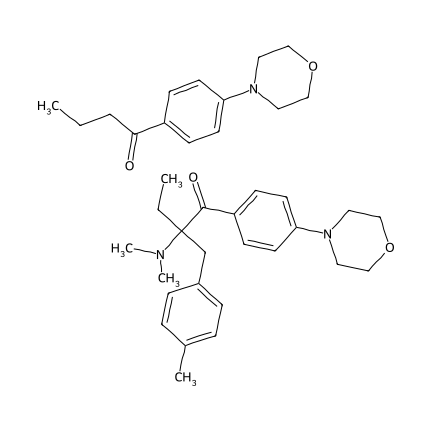 CCC(Cc1ccc(C)cc1)(C(=O)c1ccc(N2CCOCC2)cc1)N(C)C.CCCC(=O)c1ccc(N2CCOCC2)cc1